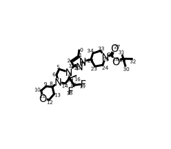 Cc1cc(N2CCN(C3CCOCC3)C[C@@]2(C)C(F)F)nn1C1CCN(C(=O)OC(C)(C)C)CC1